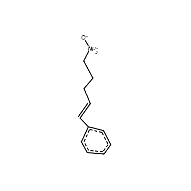 [O-][NH2+]CCCC=Cc1ccccc1